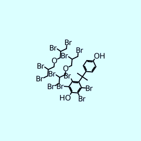 BrCC(Br)COCC(Br)CBr.BrCC(Br)COCC(Br)CBr.CC(C)(c1ccc(O)cc1)c1c(Br)c(Br)c(O)c(Br)c1Br